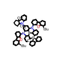 CC(C)(C)c1cccc2c1oc1c(N3c4cc(N5c6ccccc6C6(C)CCCCC56C)cc5c4B4c6c3cccc6[Si](c3ccccc3)(c3ccccc3)c3cccc(c34)N5c3cccc4c3oc3c(C(C)(C)C)cccc34)cccc12